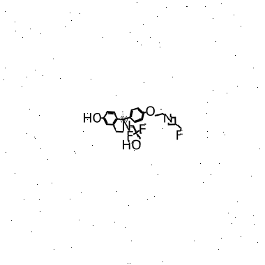 C[C@@]1(c2ccc(OCCN3CC(CF)C3)cc2)c2ccc(O)cc2CCN1CC(F)(F)CO